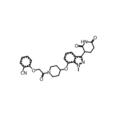 Cn1nc(C2CCC(=O)NC2=O)c2cccc(OC3CCN(C(=O)COc4ccccc4C#N)CC3)c21